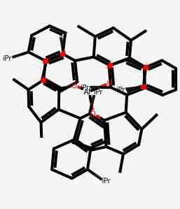 Cc1cc(C)c(-c2ccccc2C(C)C)c([O][Al]([O]c2c(-c3ccccc3C(C)C)c(C)cc(C)c2-c2ccccc2C(C)C)[O]c2c(-c3ccccc3C(C)C)c(C)cc(C)c2-c2ccccc2C(C)C)c1-c1ccccc1C(C)C